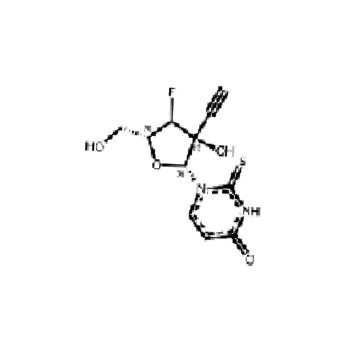 C#C[C@@]1(O)C(F)[C@@H](CO)O[C@H]1n1ccc(=O)[nH]c1=S